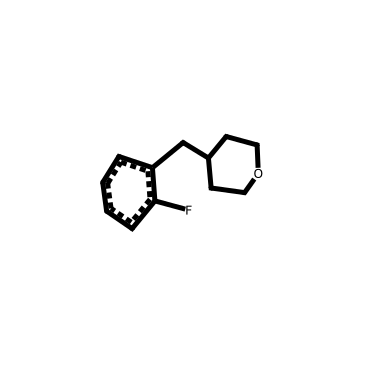 Fc1ccccc1CC1CCOCC1